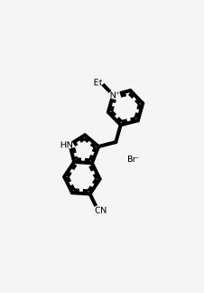 CC[n+]1cccc(Cc2c[nH]c3ccc(C#N)cc23)c1.[Br-]